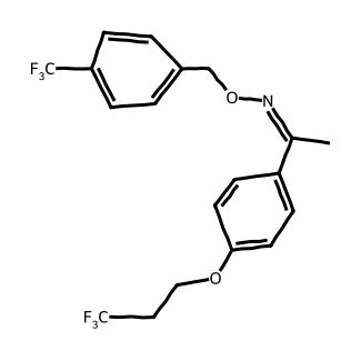 CC(=NOCc1ccc(C(F)(F)F)cc1)c1ccc(OCCC(F)(F)F)cc1